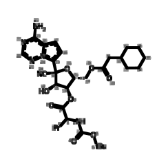 CC(C)C(NC(=O)OC(C)(C)C)C(=O)O[C@H]1[C@@H](O)[C@](C#N)(c2ccc3c(N)ncnn23)O[C@@H]1COC(=O)CC1CCCCC1